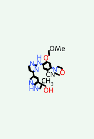 COCCOc1cc(N2CCOCC2)c(C#N)cc1Nc1nccc(-c2cnc3c(c2)C(C)(CO)CN3)n1